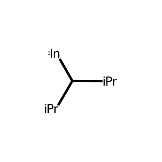 CC(C)[CH]([In])C(C)C